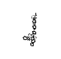 COc1ccc(Cl)cc1[C@H](c1cc2ccccc2[nH]1)N1Cc2ccc(-c3ccc(N4CCN(C(=O)OC(C)(C)C)CC4)cc3)cc2C1=O